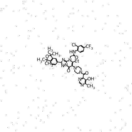 CCc1c(N2CCN(C(=O)c3ncnc(C)c3O)CC2)c(=O)n2nc(-c3ccc4c(c3)C(C)(C)OC4(C)C)nc2n1CC(=O)Nc1ccc(C(F)(F)F)cc1Cl